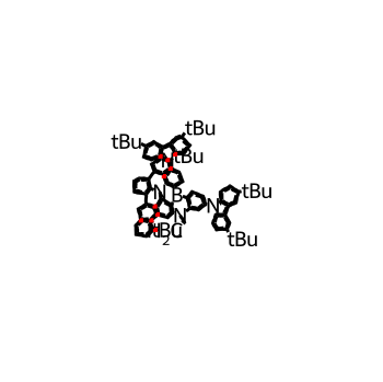 C=CN1c2cc(-n3c4ccc(C(C)(C)C)cc4c4cc(C(C)(C)C)ccc43)ccc2B2c3ccc(-n4c5ccc(C(C)(C)C)cc5c5cc(C(C)(C)C)ccc54)cc3N(c3c(-c4ccc(C(C)(C)C)cc4)cccc3-c3ccc(C(C)(C)C)cc3)c3cc(-c4ccccc4)cc1c32